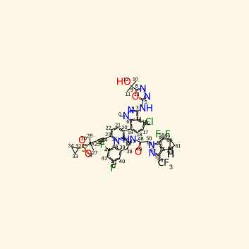 Cn1nc(Nc2nnc(C(C)(C)O)o2)c2c(Cl)ccc(-c3ccc(C#CC(C)(C)S(=O)(=O)C4CC4)nc3[C@H](Cc3cc(F)cc(F)c3)NC(=O)Cn3nc(C(F)(F)F)c4c3C(F)(F)C3C[C@H]43)c21